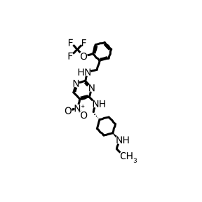 CCN[C@H]1CC[C@H](CNc2nc(NCc3ccccc3OC(F)(F)F)ncc2[N+](=O)[O-])CC1